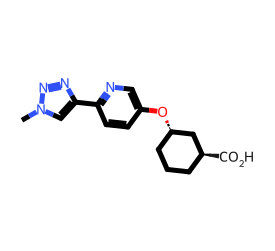 Cn1cc(-c2ccc(O[C@H]3CCC[C@H](C(=O)O)C3)cn2)nn1